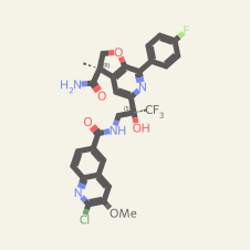 COc1cc2cc(C(=O)NC[C@](O)(c3cc4c(c(-c5ccc(F)cc5)n3)OC[C@]4(C)C(N)=O)C(F)(F)F)ccc2nc1Cl